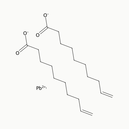 C=CCCCCCCCC(=O)[O-].C=CCCCCCCCC(=O)[O-].[Pb+2]